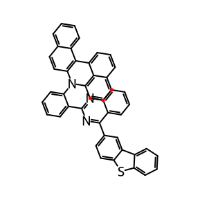 c1ccc(N2c3ccc4ccccc4c3-c3cccc4cccc2c34)c(-c2nc(-c3ccc4sc5ccccc5c4c3)c3ccccc3n2)c1